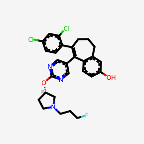 Oc1ccc2c(c1)CCCC(c1ccc(Cl)cc1Cl)=C2c1cnc(O[C@H]2CCN(CCCF)C2)nc1